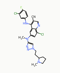 CN(c1cc(Cl)c2ncc(C#N)c(Nc3ccc(F)c(Cl)c3)c2c1)c1cn(CCC2CCCN2C)nn1